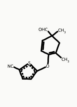 CC1=C(Oc2ccc(C#N)s2)C=CC(C)(C=O)C1